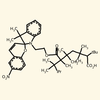 CC(C)C(C)(C)C(C)(C(=O)OCCN1c2ccccc2C(C)(C)C12C=Cc1cc([N+](=O)[O-])ccc1O2)C(C)(C)CC(C)(C)C(C(=O)O)C(C)(C)C